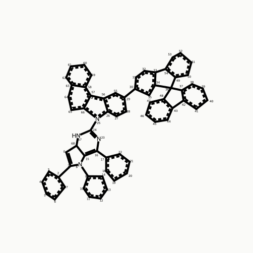 C1=C(c2ccccc2)N(c2ccccc2)C2=C(c3ccccc3)N=C(n3c4ccc(-c5ccc6c(c5)C5(c7ccccc7-c7ccccc75)c5ccccc5-6)cc4c4c5ccccc5ccc43)NC12